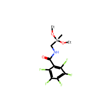 CCO[Si](C)(CNC(=O)c1c(F)c(F)c(F)c(F)c1F)OCC